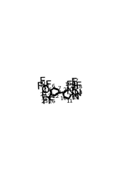 FC(F)(F)Oc1ccc(-c2ccc3nnc(C(F)(F)F)n3c2)cc1C(F)(F)F